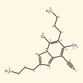 CCCCc1nc2c(C#N)c(C)c(CCCC)c(Cl)n2n1